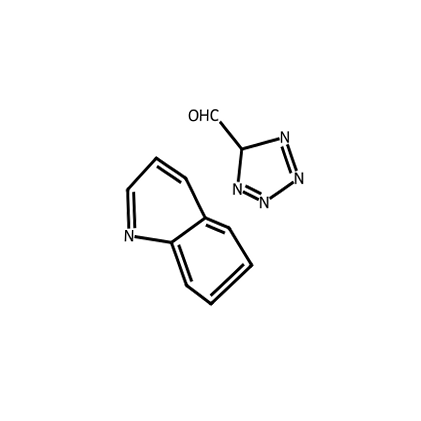 O=CC1N=NN=N1.c1ccc2ncccc2c1